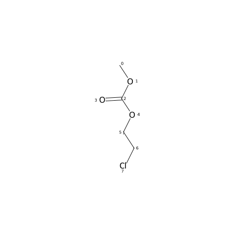 COC(=O)O[CH]CCl